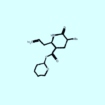 C=CCC1NC(=O)C(CCCC)CC1C(=O)OC1CCCCO1